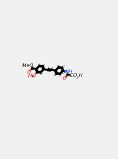 COC(=O)c1ccc(C#Cc2ccc(NC(=O)C(=O)O)cc2)cc1O